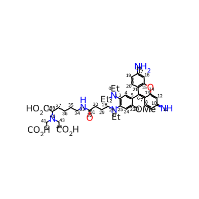 CCN(CC)c1cc(-c2c3ccc(=N)cc-3oc3cc(N)ccc23)c(OC)cc1N(CC)CCCC(=O)NCCCCC(C(=O)O)N(CC(=O)O)CC(=O)O